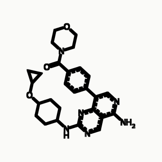 Nc1ncc(-c2ccc(C(=O)N3CCOCC3)cc2)c2nc(NC3CCC(OC4CC4)CC3)ncc12